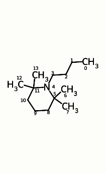 CCCCN1C(C)(C)CCCC1(C)C